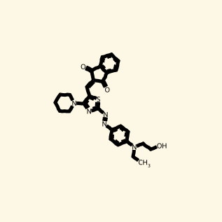 CCN(CCO)c1ccc(N=Nc2nc(N3CCCCC3)c(C=C3C(=O)c4ccccc4C3=O)s2)cc1